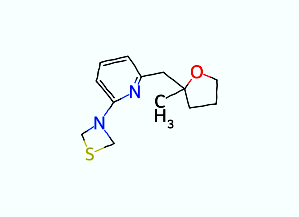 CC1(Cc2cccc(N3CSC3)n2)CCCO1